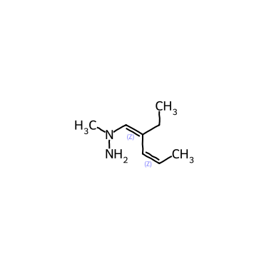 C/C=C\C(=C/N(C)N)CC